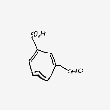 O=[C]c1cccc(S(=O)(=O)O)c1